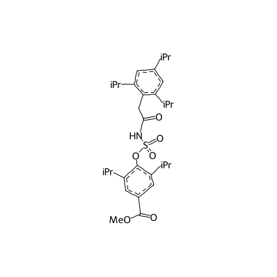 COC(=O)c1cc(C(C)C)c(OS(=O)(=O)NC(=O)Cc2c(C(C)C)cc(C(C)C)cc2C(C)C)c(C(C)C)c1